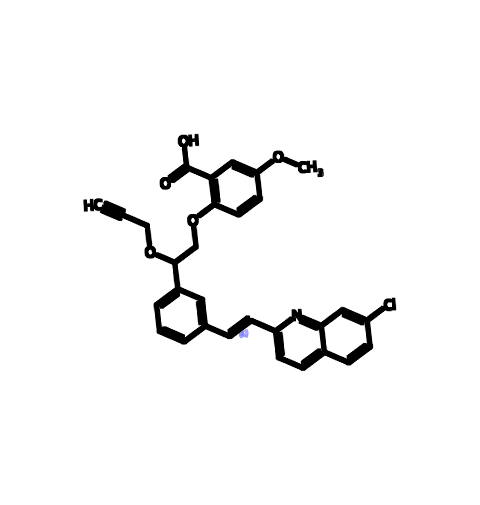 C#CCOC(COc1ccc(OC)cc1C(=O)O)c1cccc(/C=C/c2ccc3ccc(Cl)cc3n2)c1